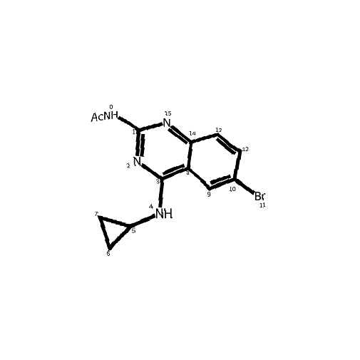 CC(=O)Nc1nc(NC2CC2)c2cc(Br)ccc2n1